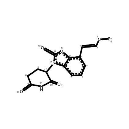 CCOC=Cc1cccc2c1oc(=O)n2C1CCC(=O)NC1=O